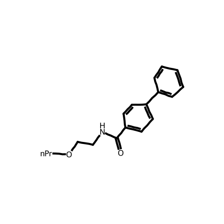 CCCOCCNC(=O)c1ccc(-c2ccccc2)cc1